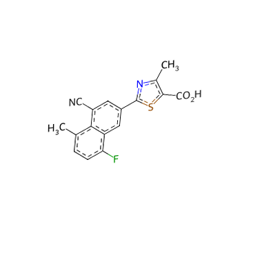 Cc1nc(-c2cc(C#N)c3c(C)ccc(F)c3c2)sc1C(=O)O